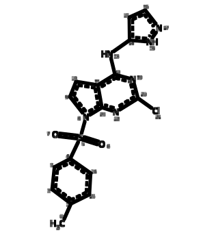 Cc1ccc(S(=O)(=O)n2ccc3c(Nc4ccn[nH]4)nc(Cl)nc32)cc1